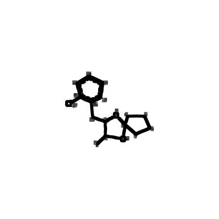 [CH2]C1OC2(CCCC2)OC1Cc1ccccc1Cl